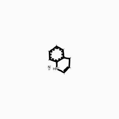 C1=CNc2ccccc2C1.[N]